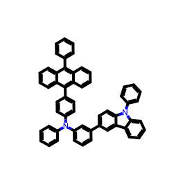 c1ccc(-c2c3ccccc3c(-c3ccc(N(c4ccccc4)c4cccc(-c5ccc6c(c5)c5ccccc5n6-c5ccccc5)c4)cc3)c3ccccc23)cc1